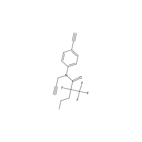 C#CCN(C(=O)C(F)(CCC)C(F)(F)F)c1ccc(C#C)cc1